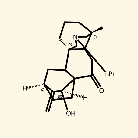 C=C1[C@H]2CCC3(C(=O)CC4[C@@]5(C)CCC[C@@]4(CN(CCC)C5)C3C2)[C@H]1O